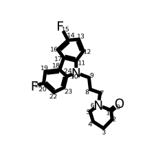 O=C1CCCCN1CCCn1c2ccc(F)cc2c2cc(F)ccc21